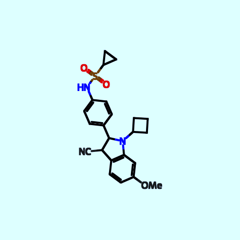 COc1ccc2c(c1)N(C1CCC1)C(c1ccc(NS(=O)(=O)C3CC3)cc1)C2C#N